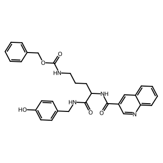 O=C(NCCCC(NC(=O)c1cnc2ccccc2c1)C(=O)NCc1ccc(O)cc1)OCc1ccccc1